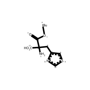 CC(C)(C)OC(=O)C(N)(Cc1cscn1)C(=O)O